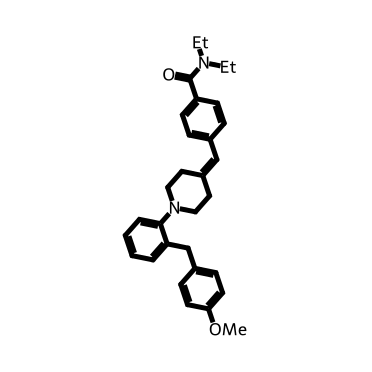 CCN(CC)C(=O)c1ccc(C=C2CCN(c3ccccc3Cc3ccc(OC)cc3)CC2)cc1